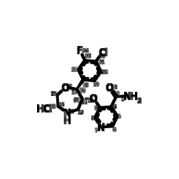 Cl.NC(=O)c1ccncc1O[C@@H]1CNCCO[C@H]1c1ccc(Cl)c(F)c1